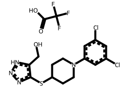 O=C(O)C(F)(F)F.OCc1[nH]nnc1SC1CCN(c2cc(Cl)cc(Cl)c2)CC1